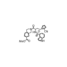 COC(=O)c1ccc2c(c1)CN(C(=O)C(CCn1cccc1C#N)NS(=O)(=O)c1cccc3[nH]ccc13)CC2